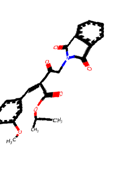 COc1cccc(C=C(C(=O)CN2C(=O)c3ccccc3C2=O)C(=O)OC(C)C)c1